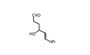 CCCC=CC(O)CCC=O